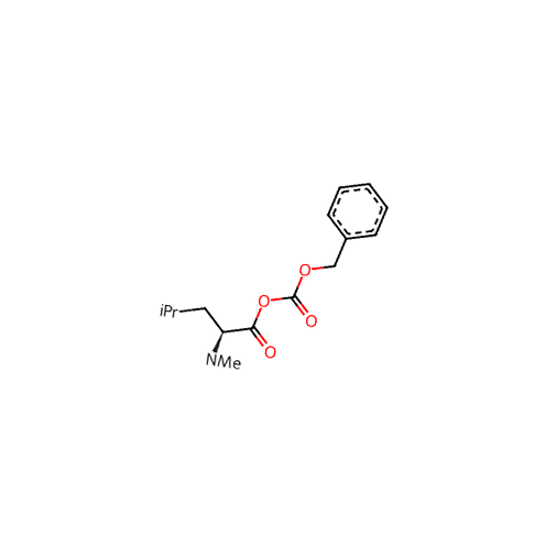 CN[C@@H](CC(C)C)C(=O)OC(=O)OCc1ccccc1